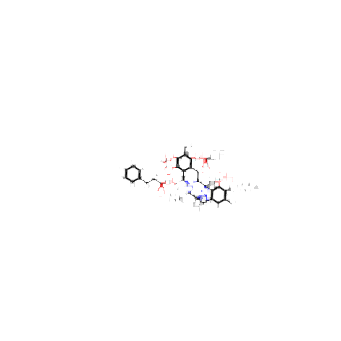 COc1c(C)cc2c(c1O)[C@@H]1C3Cc4c(OC(=O)C(F)(F)F)c(C)c5c(c4[C@H](COC(=O)CCc4ccccc4)N3[C@@H](C#N)[C@H](C2)N1C)OCO5